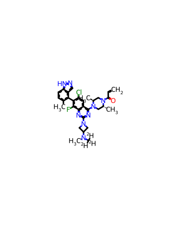 [2H]C([2H])([2H])N(C)C1CN(c2nc(N3C[C@@H](C)N(C(=O)C=C)C[C@@H]3C)c3cc(Cl)c(-c4c(C)ccc5[nH]ncc45)c(F)c3n2)C1